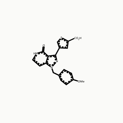 COc1ccc(Cn2nc(-c3csc(C(=O)O)c3)c3c(=O)[nH]ccc32)cc1